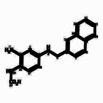 Nc1nc(NCc2ccc3ccccc3c2)ccc1NC(=O)O